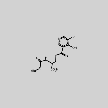 CC(C)(C)OC(=O)NC(CCC(=O)c1cncc(Br)c1O)C(=O)O